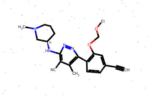 C#Cc1ccc(-c2nnc(N[C@@H]3CCCN(C)C3)c(C#N)c2C)c(OCOCC)c1